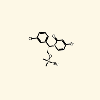 CC(C)(C)[Si](C)(C)OC[C@H](c1cccc(Cl)c1)n1ccc(Br)cc1=O